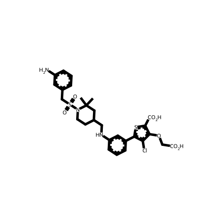 CC1(C)CC(CNc2cccc(-c3sc(C(=O)O)c(OCC(=O)O)c3Cl)c2)CCN1S(=O)(=O)Cc1cccc(N)c1